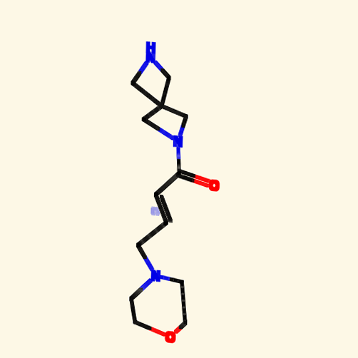 O=C(/C=C/CN1CCOCC1)N1CC2(CNC2)C1